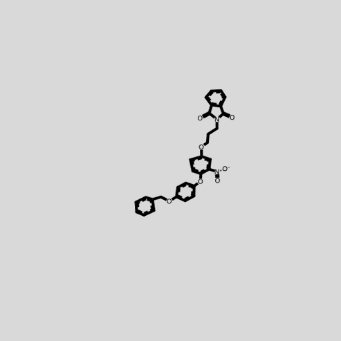 O=C1c2ccccc2C(=O)N1CCCOc1ccc(Oc2ccc(OCc3ccccc3)cc2)c([N+](=O)[O-])c1